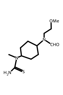 COCCN(C=O)C1CCC(N(C)C(N)=S)CC1